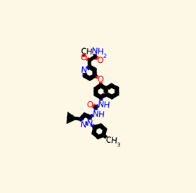 COC(C(N)=O)c1cc(Oc2ccc(NC(=O)Nc3cc(C4CC4)nn3-c3ccc(C)cc3)c3ccccc23)ccn1